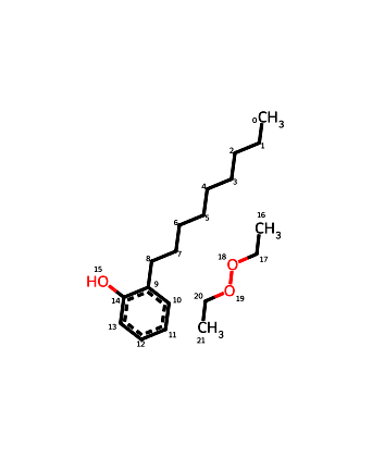 CCCCCCCCCc1ccccc1O.CCOOCC